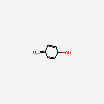 C=C1C=CC(O)C=C1